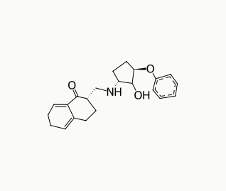 O=C1C2=CCCC=C2CC[C@H]1CN[C@@H]1CC[C@@H](Oc2ccccc2)C1O